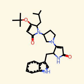 CC(C)CC1C(OC(C)(C)C)=CC(=O)N1C1CCN(C2=CC(=O)NC2Cc2c[nH]c3ccccc23)C1